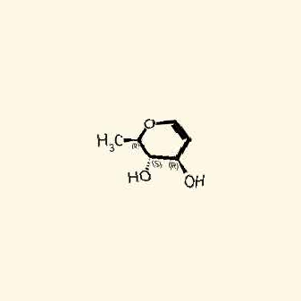 C[C@H]1OC=C[C@@H](O)[C@@H]1O